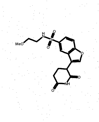 COCCNS(=O)(=O)c1ccc2occ(C3CCC(=O)NC3=O)c2c1